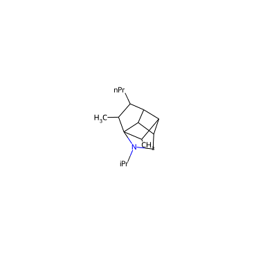 CCCC1C2C3C4CN(C(C)C)C(C1C)(C3C)C42